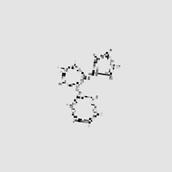 c1ccoc1.c1cncnc1.c1cscn1